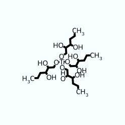 CCCC(O)C(O)C[O][Ti]([O]CC(O)C(O)CCC)([O]CC(O)C(O)CCC)[O]CC(O)C(O)CCC